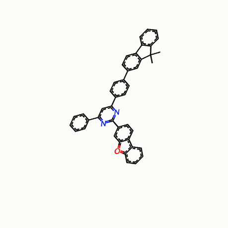 CC1(C)c2ccccc2-c2ccc(-c3ccc(-c4cc(-c5ccccc5)nc(-c5ccc6c(c5)oc5ccccc56)n4)cc3)cc21